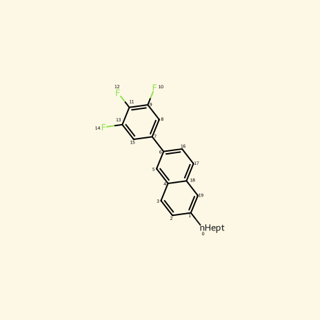 CCCCCCCc1ccc2cc(-c3cc(F)c(F)c(F)c3)ccc2c1